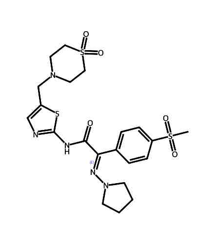 CS(=O)(=O)c1ccc(/C(=N\N2CCCC2)C(=O)Nc2ncc(CN3CCS(=O)(=O)CC3)s2)cc1